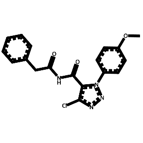 COc1ccc(-n2nnc(Cl)c2C(=O)NC(=O)Cc2ccccc2)cc1